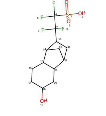 O=S(=O)(O)C(F)(F)C(F)(F)C1CC2CC1C1CCC(O)CC21